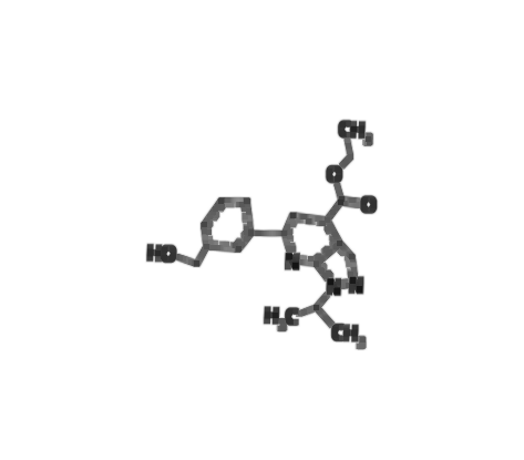 CCOC(=O)c1cc(-c2cccc(CO)c2)nc2c1cnn2C(C)C